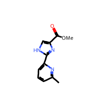 COC(=O)c1c[nH]c(-c2cccc(C)n2)n1